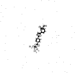 CC(C)(C)OC(=O)N1CCN(c2nnc(C3CCC4CN3C(=O)N4O)o2)CC1